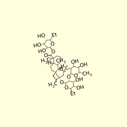 C=C1C[C@@]23CC[C@H]4[C@@](C)(CCC[C@@]4(C)C(=O)O[C@@H]4OC(CC)[C@@H](O)C(O)C4O)[C@@H]2CC[C@]1(OC1O[C@H](CC)C(O)C(O)[C@H]1O[C@@H]1OC(C)[C@H](O)C(O)C1C)C3